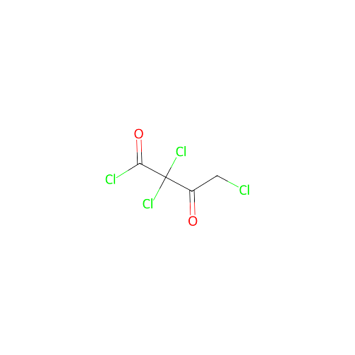 O=C(Cl)C(Cl)(Cl)C(=O)CCl